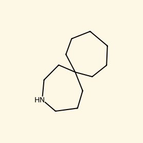 C1CCCC2(CC1)CCCNCC2